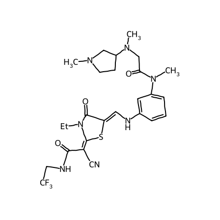 CCn1c(=C(C#N)C(=O)NCC(F)(F)F)sc(=CNc2cccc(N(C)C(=O)CN(C)C3CCN(C)C3)c2)c1=O